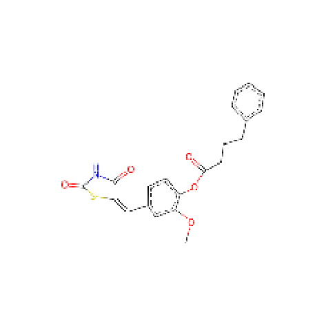 COc1cc(C=C2SC(=O)NC2=O)ccc1OC(=O)CCCc1ccccc1